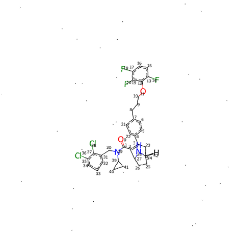 O=C(C1=C(c2ccc(CCCOc3c(F)ccc(F)c3F)cc2)C[C@@H]2CCC1N2)N(Cc1cccc(Cl)c1Cl)C1CC1